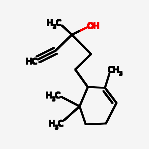 C#CC(C)(O)CCC1C(C)=CCCC1(C)C